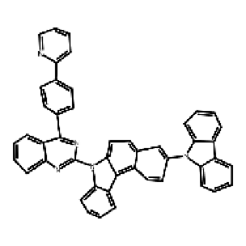 c1ccc(-c2ccc(-c3nc(-n4c5ccccc5c5c6ccc(-n7c8ccccc8c8ccccc87)cc6ccc54)nc4ccccc34)cc2)nc1